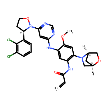 C=CC(=O)Nc1cc(Nc2cc(N3OCC[C@@H]3c3cccc(Cl)c3Cl)ncn2)c(OC)cc1N1C[C@H]2C[C@@H]1CO2